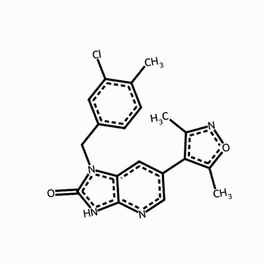 Cc1ccc(Cn2c(=O)[nH]c3ncc(-c4c(C)noc4C)cc32)cc1Cl